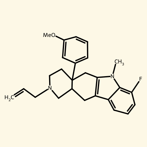 C=CCN1CCC2(c3cccc(OC)c3)Cc3c(c4cccc(F)c4n3C)CC2C1